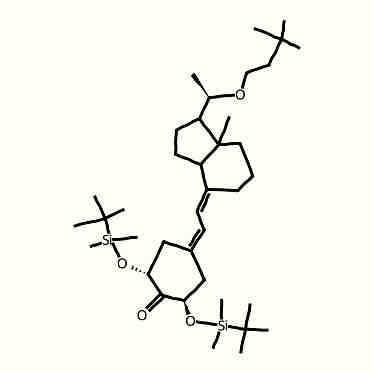 C[C@@H](OCCC(C)(C)C)C1CCC2/C(=C/C=C3C[C@@H](O[Si](C)(C)C(C)(C)C)C(=O)[C@H](O[Si](C)(C)C(C)(C)C)C3)CCCC21C